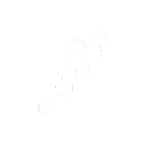 O=c1c(NCCc2ccccc2)c(N2CCN(S(=O)(=O)Cc3ccccc3)CC2)cnn1-c1ccccc1